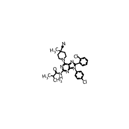 CC(C)C(=O)Nc1nc(N2CCC(C)(C#N)CC2)c2nc(-c3ccccc3Cl)n(-c3ccc(Cl)cc3)c2n1